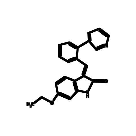 CCOc1ccc2c(c1)NC(=O)/C2=C/c1ccccc1-c1cccnc1